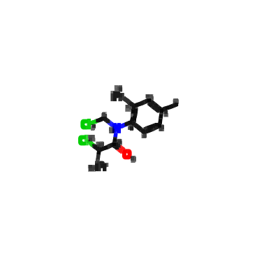 Cc1ccc(N(CCl)C(=O)C(Cl)C(C)C)c(C(C)C)c1